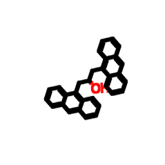 OC(Cc1c2ccccc2cc2ccccc12)Cc1c2ccccc2cc2ccccc12